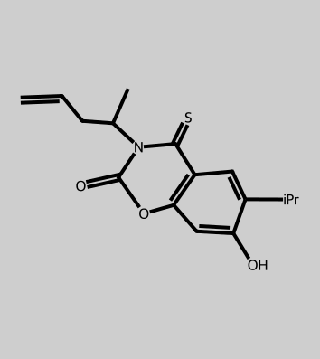 C=CCC(C)n1c(=O)oc2cc(O)c(C(C)C)cc2c1=S